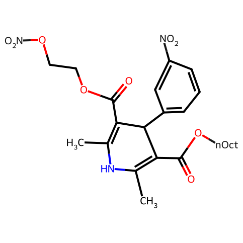 CCCCCCCCOC(=O)C1=C(C)NC(C)=C(C(=O)OCCO[N+](=O)[O-])C1c1cccc([N+](=O)[O-])c1